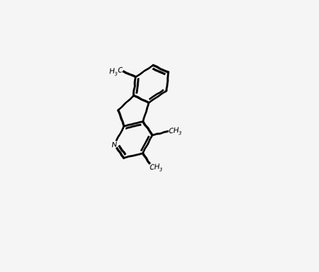 Cc1cnc2c(c1C)-c1cccc(C)c1C2